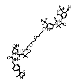 Cc1ncsc1-c1ccc(CNC(=O)[C@@H]2C[C@@H](O)CN2C(=O)[C@@H](NC(=O)COCCOCCCOc2ncc(N3C(=S)N(c4ccc(C#N)c(C(F)(F)F)c4F)C(=O)C3(C)C)cc2C(F)(F)F)C(C)(C)C)cc1